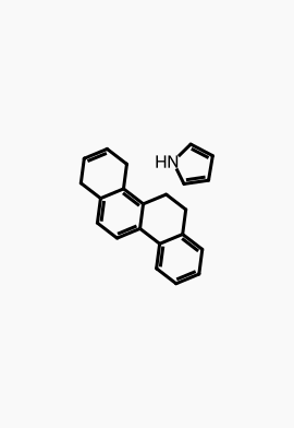 C1=CCc2c(ccc3c2CCc2ccccc2-3)C1.c1cc[nH]c1